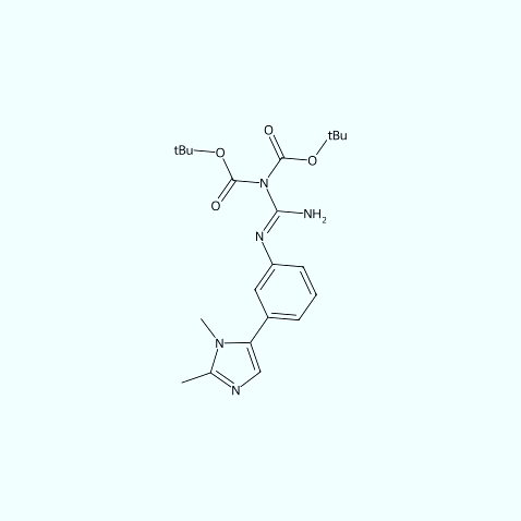 Cc1ncc(-c2cccc(N=C(N)N(C(=O)OC(C)(C)C)C(=O)OC(C)(C)C)c2)n1C